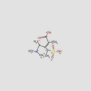 C/C(C(=O)O)=C(/C(C)N(C)C)C(C)S(=O)(=O)O